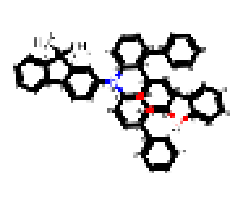 CC1(C)c2ccccc2-c2ccc(N(c3ccc(-c4ccccc4)cc3)c3cccc(-c4ccccc4)c3-c3ccc4oc5ccccc5c4c3)cc21